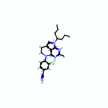 CCCC(CCC)n1cc2c3c(nc(C)nc31)N(c1ccc(C#N)cc1Cl)CC2